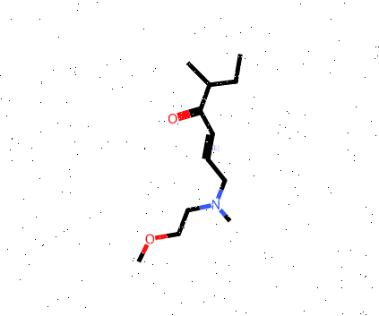 CCC(C)C(=O)/C=C/CN(C)CCOC